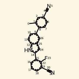 Cc1cc(C#N)ccc1-c1ccc2[nH]c(-c3cccc(C#N)c3F)cc2c1